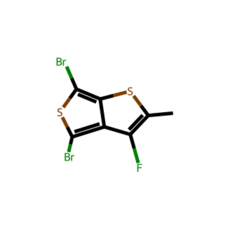 Cc1sc2c(Br)sc(Br)c2c1F